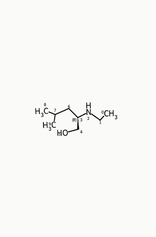 CCN[C@@H](CO)CC(C)C